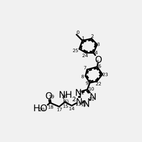 Cc1ccc(Oc2ccc(-c3nnn(C[C@@H](N)CC(=O)O)n3)cc2)cc1